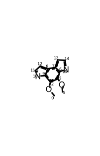 COc1c(OC)c2c(c3c1N=[C]C=3)=C[C]=N2